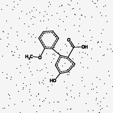 COc1ccccc1-c1cc(O)ccc1C(=O)O